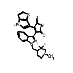 CN1CCC(Cn2nc(C3=C(c4c[nH]c5ccsc45)C(=O)NC3=O)c3ccccc32)C(F)(F)C1